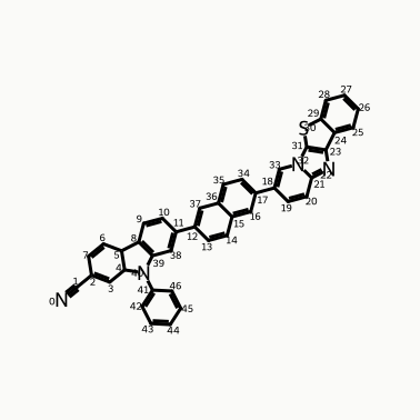 N#CC1=CC2C(C=C1)c1ccc(-c3ccc4cc(-c5ccc6nc7c8ccccc8sc7n6c5)ccc4c3)cc1N2c1ccccc1